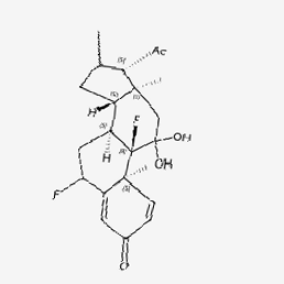 CC(=O)[C@H]1C(C)C[C@H]2[C@@H]3CC(F)C4=CC(=O)C=C[C@]4(C)[C@@]3(F)C(O)(O)C[C@]12C